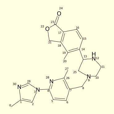 Cc1cn(-c2ccc(CN3CCNC(c4ccc5c(c4C)COC5=O)C3)c(C)n2)cn1